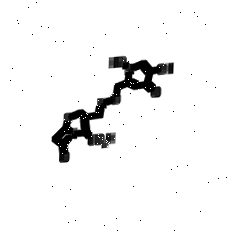 O=C(O)C1=C(C=NOCc2cc(=O)c(O)cn2O)CSC2CC(=O)N12